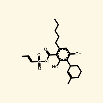 CC=CS(=O)(=O)NC(=O)c1c(CCCCC)cc(O)c(C2C=C(C)CCC2)c1O